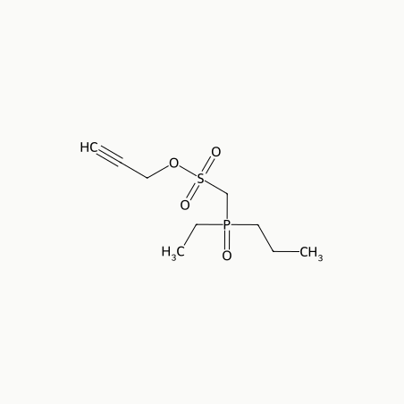 C#CCOS(=O)(=O)CP(=O)(CC)CCC